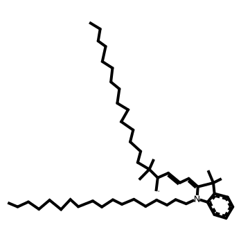 [CH2]C(C=CC=C1N(CCCCCCCCCCCCCCCCCC)c2ccccc2C1(C)C)C(C)(C)CCCCCCCCCCCCCCC